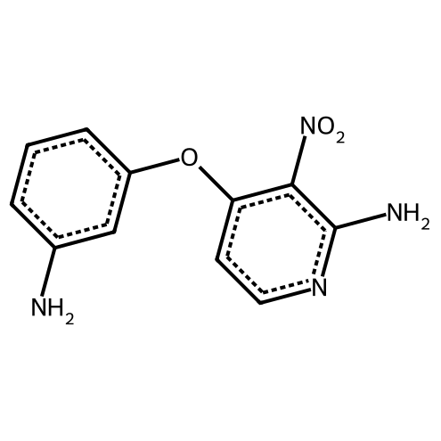 Nc1cccc(Oc2ccnc(N)c2[N+](=O)[O-])c1